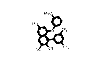 COc1cccc(Oc2cc(C(C)(C)C)cc3cc(C#N)c(C#N)c(-c4cc(C(F)(F)F)cc(C(F)(F)F)c4)c23)c1